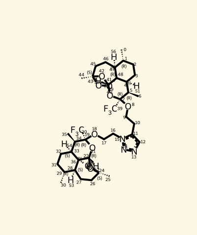 C[C@@H]1CC[C@H]2[C@@H](C)[C@](OCCc3cnnn3CCO[C@@]3(C(F)(F)F)O[C@@H]4O[C@]5(C)CC[C@H]6[C@H](C)CC[C@@H]([C@H]3C)[C@@]46OO5)(C(F)(F)F)O[C@@H]3O[C@]4(C)CC[C@@H]1[C@]32OO4